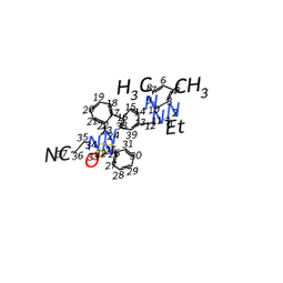 CCc1nc2c(C)cc(C)nc2n1Cc1ccc(-c2ccccc2C2=NN(c3ccccc3)[S+]([O-])N2CCC#N)cc1